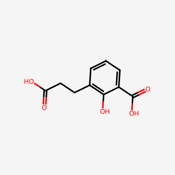 O=C(O)CCc1c[c]cc(C(=O)O)c1O